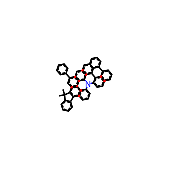 CC1(C)c2ccccc2-c2ccc(-c3ccccc3N(c3ccccc3-c3ccc(-c4ccccc4)cc3)c3ccccc3-c3cccc4cccc(-c5ccccc5)c34)cc21